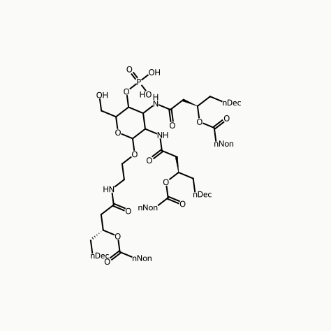 CCCCCCCCCCC[C@H](CC(=O)NCCOC1OC(CO)C(OP(=O)(O)O)C(NC(=O)C[C@@H](CCCCCCCCCCC)OC(=O)CCCCCCCCC)C1NC(=O)C[C@@H](CCCCCCCCCCC)OC(=O)CCCCCCCCC)OC(=O)CCCCCCCCC